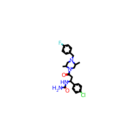 CC1CN(C(=O)CC(NC(N)=O)c2ccc(Cl)cc2)C(C)CN1Cc1ccc(F)cc1